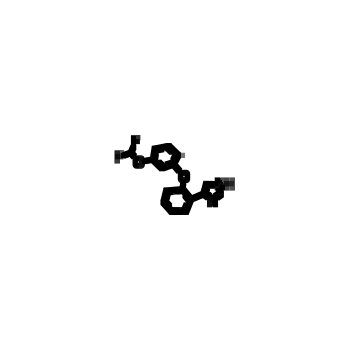 FC(F)Oc1cc[c]c(Oc2ccccc2-c2c[nH]cn2)c1